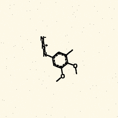 COc1cc(N=[N+]=[N-])cc(C)c1OC